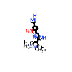 CC1(C)CC(c2c[nH]c3cc(-c4ccc(-c5cn[nH]c5)cc4O)nnc23)CC(C)(C)N1